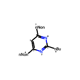 [CH2]CCCc1nc(CCCCCCCCC)cc(CCCCCCCCC)n1